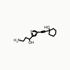 NCCC(O)c1cc(C#CC2(O)CCCCC2)cs1